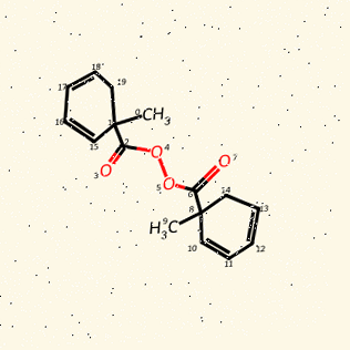 CC1(C(=O)OOC(=O)C2(C)C=CC=CC2)C=CC=CC1